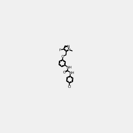 Cn1ncc(F)c1COc1cccc(NC(=O)Nc2ccc(Cl)cc2)c1